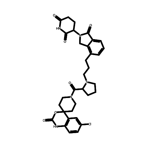 O=C1CCC(N2Cc3c(CCCN4CCCC4C(=O)N4CCC5(CC4)OC(=O)Nc4ccc(Cl)cc45)cccc3C2=O)C(=O)N1